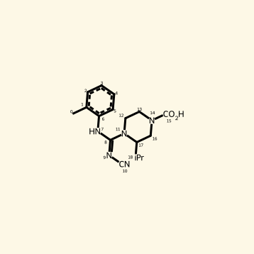 Cc1ccccc1N/C(=N/C#N)N1CCN(C(=O)O)CC1C(C)C